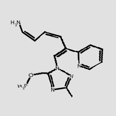 Cc1nc(OP)n(/C=C(/C=C\C=C/N)c2ccccn2)n1